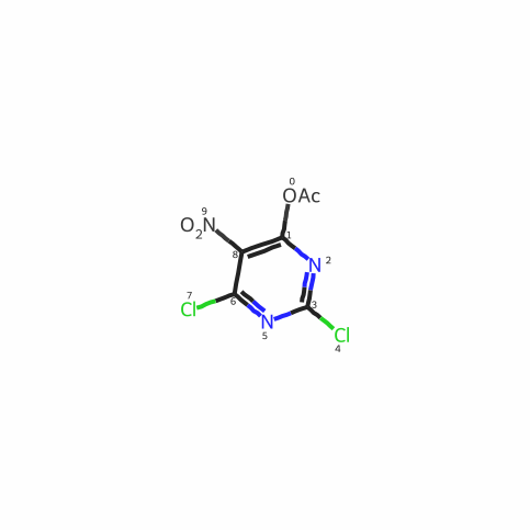 CC(=O)Oc1nc(Cl)nc(Cl)c1[N+](=O)[O-]